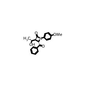 COc1ccc(N2C(=O)[C@H]([C@@H](C)O)[C@H]2C(=O)c2ccccc2)cc1